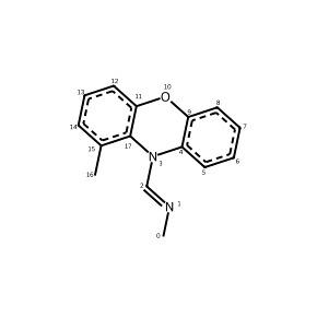 C/N=C/N1c2ccccc2Oc2cccc(C)c21